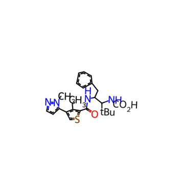 Cc1c(-c2ccnn2C)csc1C(=O)NC(Cc1ccccc1)C(NC(=O)O)C(C)(C)C